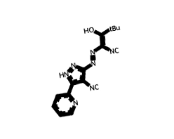 [C-]#[N+]C(/N=N/c1n[nH]c(-c2ccccn2)c1[N+]#[C-])=C(/O)C(C)(C)C